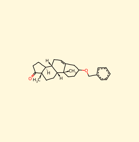 C[C@]12CCC(OCc3ccccc3)CC1=CC[C@@H]1[C@H]2CC[C@]2(C)C(=O)CC[C@@H]12